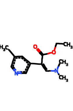 CCOC(=O)C(=CN(C)C)c1cncc(C)c1